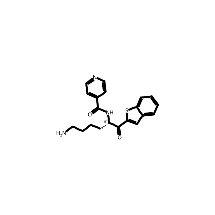 NCCCC[C@H](NC(=O)c1ccncc1)C(=O)c1cc2ccccc2s1